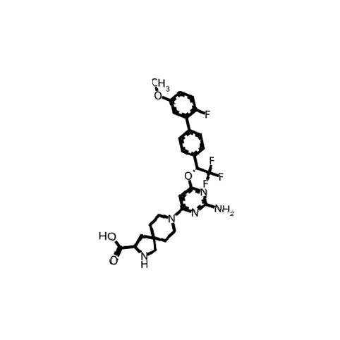 COc1ccc(F)c(-c2ccc([C@@H](Oc3cc(N4CCC5(CC4)CNC(C(=O)O)C5)nc(N)n3)C(F)(F)F)cc2)c1